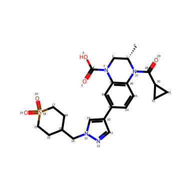 C[C@H]1CN(C(=O)O)c2cc(-c3cnn(CC4CCS(=O)(=O)CC4)c3)ccc2N1C(=O)C1CC1